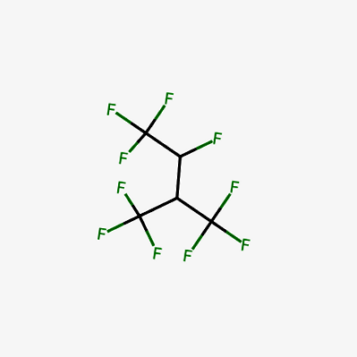 FC(C(C(F)(F)F)C(F)(F)F)C(F)(F)F